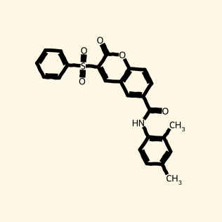 Cc1ccc(NC(=O)c2ccc3oc(=O)c(S(=O)(=O)c4ccccc4)cc3c2)c(C)c1